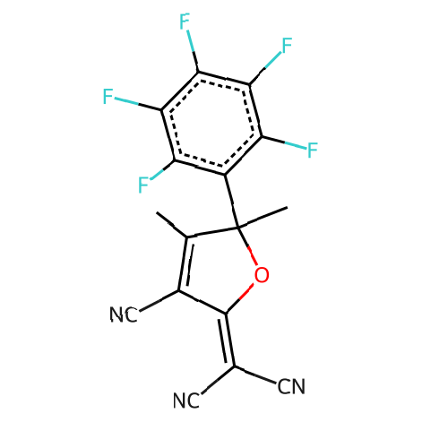 CC1=C(C#N)C(=C(C#N)C#N)OC1(C)c1c(F)c(F)c(F)c(F)c1F